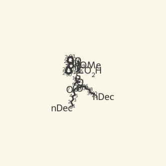 CCCCCCCCCCCCCCCC(=O)OCC(CSCC(C(=O)O)N(C(=O)OC)C1c2ccccc2-c2ccccc21)OC(=O)CCCCCCCCCCCCCCC